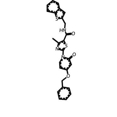 Cc1nc(-n2ccc(OCc3ccccc3)cc2=O)sc1C(=O)NCc1cc2ccccc2s1